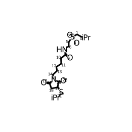 CC(C)CS(=O)(=O)CCNC(=O)CCCCCN1C(=O)CC(SC(C)C)C1=O